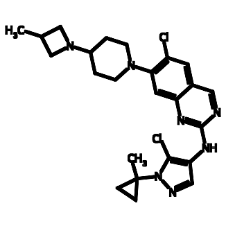 CC1CN(C2CCN(c3cc4nc(Nc5cnn(C6(C)CC6)c5Cl)ncc4cc3Cl)CC2)C1